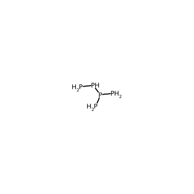 PPP(P)P